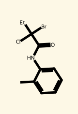 CCC(Cl)(Br)C(=O)Nc1ccccc1C